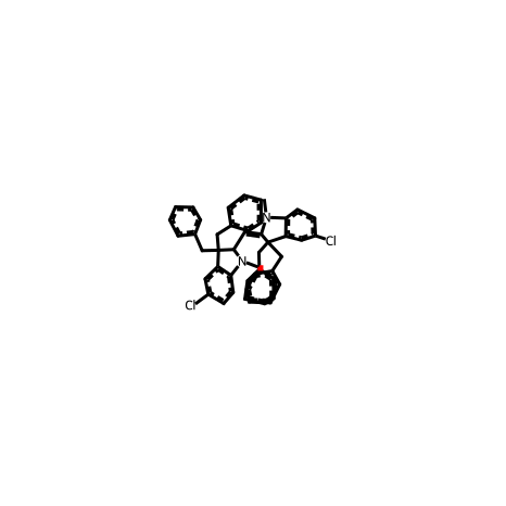 CN1/C(=C/C2N(C)c3ccc(Cl)cc3C2(Cc2ccccc2)Cc2ccccc2)C(Cc2ccccc2)(Cc2ccccc2)c2cc(Cl)ccc21